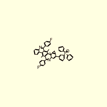 Cc1c2c(c(C)c3c1c(-c1ccc(F)cc1)nc1ccccc13)C(c1ccc(F)cc1)=NC1C=C(c3cccc(P(=O)(c4ccccc4)c4ccccc4)c3)C3=C(C3)C21C